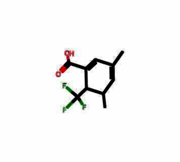 CC1=CC(C)C(C(F)(F)F)C(C(=O)O)=C1